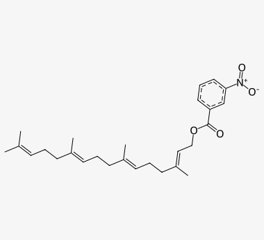 CC(C)=CCC/C(C)=C/CC/C(C)=C/CC/C(C)=C/COC(=O)c1cccc([N+](=O)[O-])c1